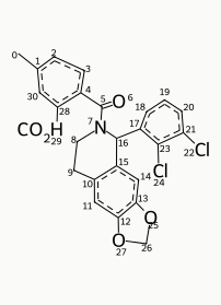 Cc1ccc(C(=O)N2CCc3cc4c(cc3C2c2cccc(Cl)c2Cl)OCO4)c(C(=O)O)c1